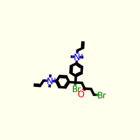 C=CC[N+](C)(C)c1ccc(C(Br)(CC(=O)CCBr)c2ccc([N+](C)(C)CC=C)cc2)cc1